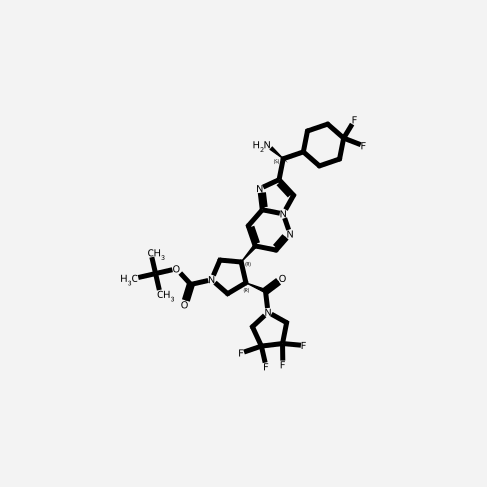 CC(C)(C)OC(=O)N1C[C@H](C(=O)N2CC(F)(F)C(F)(F)C2)[C@H](c2cnn3cc([C@@H](N)C4CCC(F)(F)CC4)nc3c2)C1